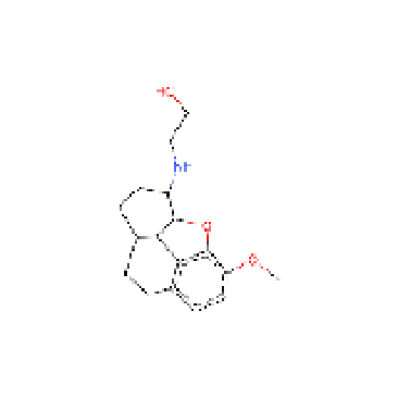 COc1ccc2c3c1OC1C(NCCO)CCC(CC2)C31